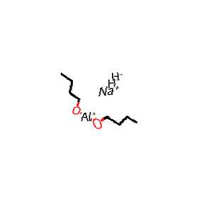 CCCC[O][Al+][O]CCCC.[H-].[H-].[Na+]